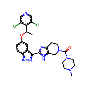 CC(Oc1ccc2[nH]nc(-c3nc4c([nH]3)CN(C(=O)N3CCN(C)CC3)CC4)c2c1)c1c(Cl)cncc1Cl